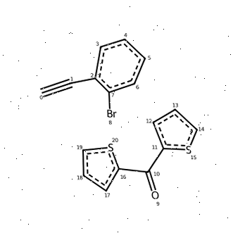 C#Cc1ccccc1Br.O=C(c1cccs1)c1cccs1